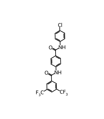 O=C(Nc1ccc(Cl)cc1)c1ccc(NC(=O)c2cc(C(F)(F)F)cc(C(F)(F)F)c2)cc1